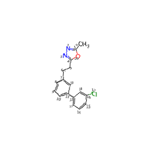 Cc1nnc(C[CH]c2cccc(-c3cccc(Cl)c3)c2)o1